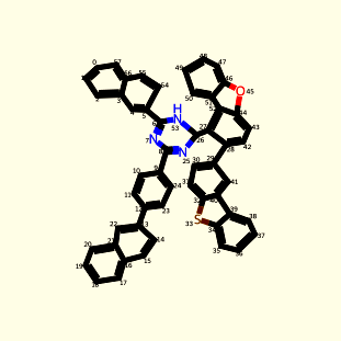 c1ccc2cc(C3=NC(c4ccc(-c5ccc6ccccc6c5)cc4)=NC(c4c(-c5ccc6sc7ccccc7c6c5)ccc5oc6ccccc6c45)N3)ccc2c1